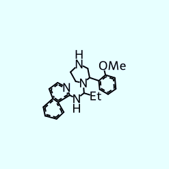 CCC(Nc1nccc2ccccc12)N1CCNCC1c1ccccc1OC